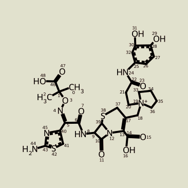 CC(C)(O/N=C(\C(=O)NC1C(=O)N2C(C(=O)O)=C(C[N+]3(CCC(=O)Nc4ccc(O)c(O)c4)CCCC3)CSC12)c1csc(N)n1)C(=O)O